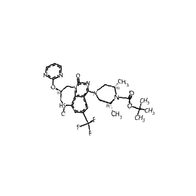 C[C@@H]1CN(c2nc(=O)n3c4c(cc(C(F)(F)F)cc24)[SH](Cl)C[C@@H](Oc2ncccn2)C3)C[C@H](C)N1C(=O)OC(C)(C)C